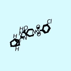 O=C1NC([C@H]2C[C@H]3CC[C@@H]2C3)=NC12CCN(S(=O)(=O)c1cccc(Cl)c1)CC2